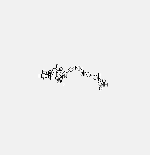 CCN(C)S(=O)(=O)Nc1ccc(F)c(C(=O)c2cn(OC(=O)C(F)(F)F)c3ncc(-c4ccc(CN5CCN(CC(=O)N6CCC(c7ccc(NC8CCC(=O)NC8=O)cc7)CC6)CC5)cc4)cc23)c1F